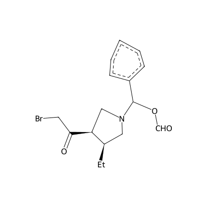 CC[C@@H]1CN(C(OC=O)c2ccccc2)C[C@@H]1C(=O)CBr